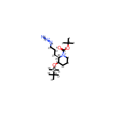 CC(C)(C)OC(=O)N1CCCC(O[Si](C)(C)C(C)(C)C)[C@H]1CCCN=[N+]=[N-]